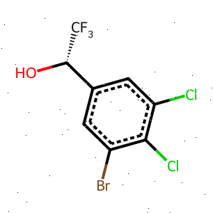 O[C@@H](c1cc(Cl)c(Cl)c(Br)c1)C(F)(F)F